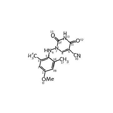 COc1cc(C)c(Nn2cc(C#N)c(=O)[nH]c2=O)c(C)c1